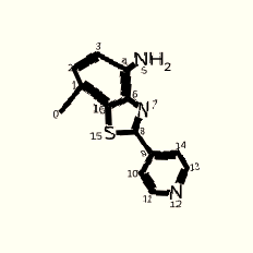 Cc1ccc(N)c2nc(-c3ccncc3)sc12